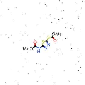 COC(=O)Nc1nnc(SC(=O)OC)s1